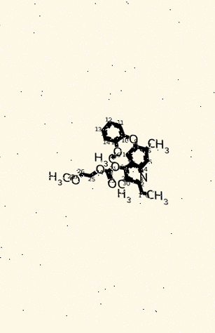 CCc1nc2cc(C)c(Oc3ccccc3OC)cc2c(OC(=O)OCCOC)c1C